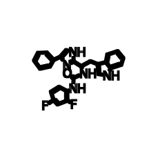 O=C(Nc1ccc(F)cc1F)NC(Cc1c[nH]c2ccccc12)c1nc(-c2ccccc2)c[nH]1